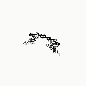 CCC(NC(=O)OC)C(=O)N1CC2(CC2)CC1c1ncc(-c2ccc3cc(-c4ccc(-c5cnc(C6C7CCC(C7)N6C(=O)C(NC(=O)OC)C(C)C)[nH]5)cc4)ccc3c2)[nH]1